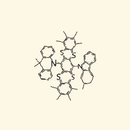 Cc1c(C)c(C)c2sc3c(-n4c5c(c6ccccc64)=CCC(C)C=5)c4sc5c(C)c(C)c(C)c(C)c5sc4c(N4c5ccccc5C(C)(C)c5ccccc54)c3sc2c1C